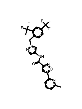 Cc1cccc(-c2cc(C(=O)Nc3cnn(Cc4ccc(C(F)(F)F)cc4C(F)(F)F)c3)no2)n1